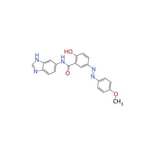 COc1ccc(N=Nc2ccc(O)c(C(=O)Nc3ccc4nc[nH]c4c3)c2)cc1